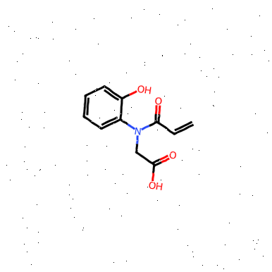 C=CC(=O)N(CC(=O)O)c1ccccc1O